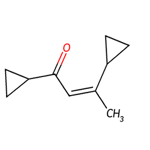 CC(=CC(=O)C1CC1)C1CC1